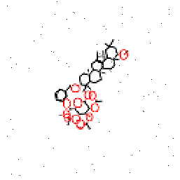 COC(=O)[C@H]1O[C@@H](OCC2(C)C3CC[C@]4(C)C(CC=C5[C@H]6CC(C)(C)C[C@@H](OC)[C@]6(C)CC[C@]54C)[C@@]3(C)CC[C@@H]2OCc2ccccc2)[C@H](OC(C)=O)[C@@H](OC(C)=O)[C@@H]1OC(C)=O